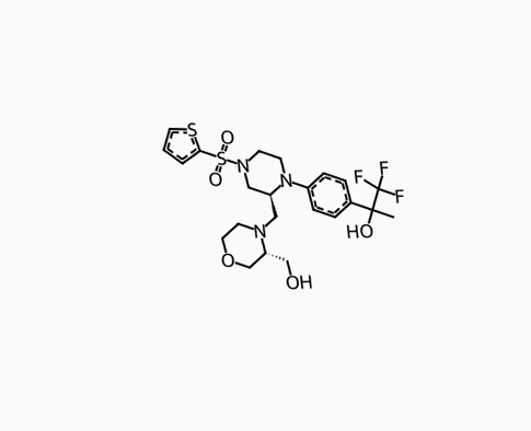 CC(O)(c1ccc(N2CCN(S(=O)(=O)c3cccs3)C[C@@H]2CN2CCOC[C@H]2CO)cc1)C(F)(F)F